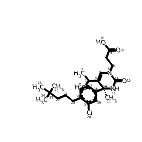 CC(C)C1=CN(CCC(=O)O)C(=O)N[C@@]1(C)c1ccc(CCCC(C)(C)C)c(Cl)c1